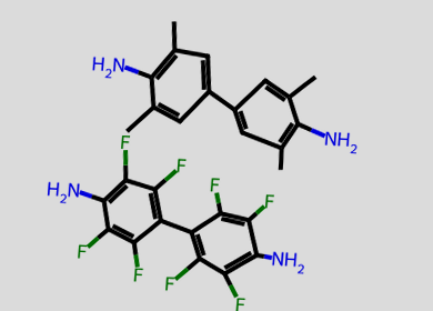 Cc1cc(-c2cc(C)c(N)c(C)c2)cc(C)c1N.Nc1c(F)c(F)c(-c2c(F)c(F)c(N)c(F)c2F)c(F)c1F